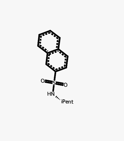 [CH2]CC[C@@H]([CH2])NS(=O)(=O)c1ccc2ccccc2c1